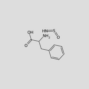 N=S=O.NC(Cc1ccccc1)C(=O)O